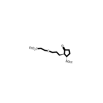 CCCCCCCC[C@H]1CCC(=O)[C@@H]1CCCCCCC(=O)OCC